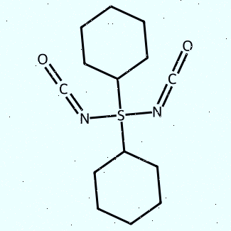 O=C=NS(N=C=O)(C1CCCCC1)C1CCCCC1